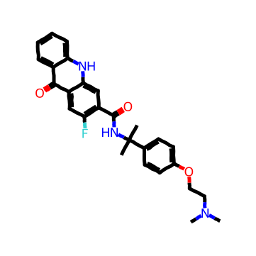 CN(C)CCOc1ccc(C(C)(C)NC(=O)c2cc3[nH]c4ccccc4c(=O)c3cc2F)cc1